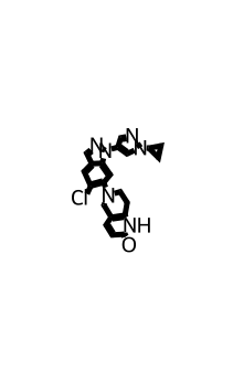 O=c1ccc2c([nH]1)CCN(c1cc3c(cnn3-c3cnn(C4CC4)c3)cc1Cl)C2